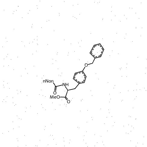 CCCCCCCCCC(=O)NC(Cc1ccc(OCc2ccccc2)cc1)C(=O)OC